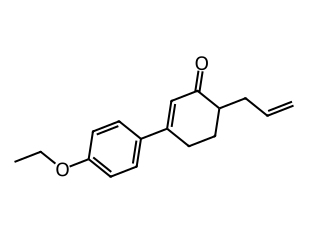 C=CCC1CCC(c2ccc(OCC)cc2)=CC1=O